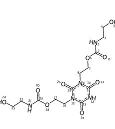 O=C(NCCO)OCCn1c(=O)[nH]c(=O)n(CCOC(=O)NCCO)c1=O